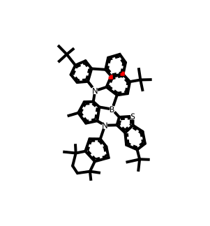 Cc1cc2c3c(c1)N(c1ccc4c(c1)C(C)(C)CCC4(C)C)c1c(sc4ccc(C(C)(C)C)cc14)B3c1cc(C(C)(C)C)ccc1N2c1ccc(C(C)(C)C)cc1-c1ccccc1